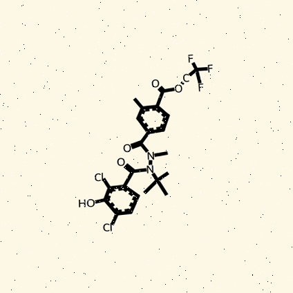 Cc1cc(C(=O)N(C)N(C(=O)c2ccc(Cl)c(O)c2Cl)C(C)(C)C)ccc1C(=O)OCC(F)(F)F